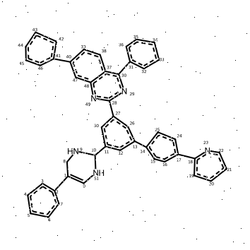 C1=C(c2ccccc2)CNC(c2cc(-c3ccc(-c4ccccn4)cc3)cc(-c3nc(-c4ccccc4)c4ccc(-c5ccccc5)cc4n3)c2)N1